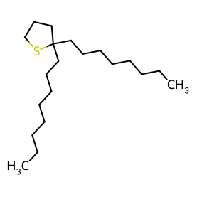 CCCCCCCCC1(CCCCCCCC)CCCS1